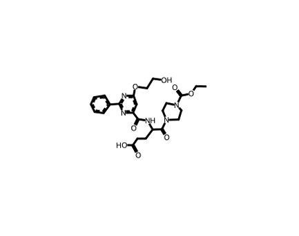 CCOC(=O)N1CCN(C(=O)C(CCC(=O)O)NC(=O)c2cc(OCCO)nc(-c3ccccc3)n2)CC1